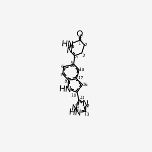 O=C1CCC(c2ccc3[nH]c(-c4nc[nH]n4)cc3c2)=NN1